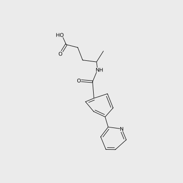 CC(CCC(=O)O)NC(=O)c1ccc(-c2ccccn2)cc1